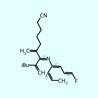 C=C(CCCCC#N)/C(=N/C(/C=C\C)=C/C=C/F)C(=C)C(C)CC